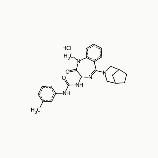 Cc1cccc(NC(=O)NC2N=C(N3CC4CCC(C4)C3)c3ccccc3N(C)C2=O)c1.Cl